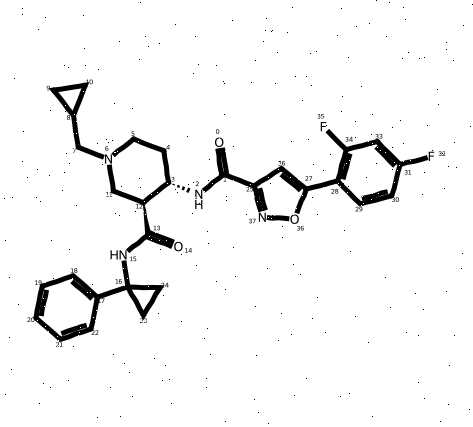 O=C(N[C@H]1CCN(CC2CC2)C[C@@H]1C(=O)NC1(c2ccccc2)CC1)c1cc(-c2ccc(F)cc2F)on1